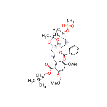 COCOc1cc(OC)cc(/C=C/C[C@@H]2OC(C)(C)O[C@@H]2C(/C=C\C[C@@H](C)OS(C)(=O)=O)OC(=O)c2ccccc2)c1C(=O)OCC[Si](C)(C)C